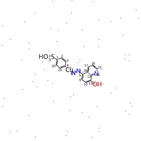 O=S(=O)(O)c1cc[c]([Cu][N]=Nc2ccc(O)c3ncccc23)cc1